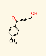 Cc1ccc(C(=O)C#CCO)cc1